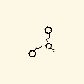 Cl[C@@H]1C[C@H](OCc2ccccc2)[C@@H](COCc2ccccc2)O1